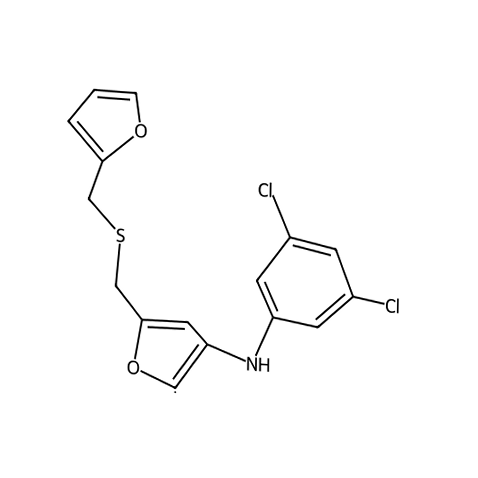 Clc1cc(Cl)cc(Nc2[c]oc(CSCc3ccco3)c2)c1